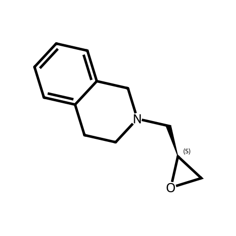 c1ccc2c(c1)CCN(C[C@H]1CO1)C2